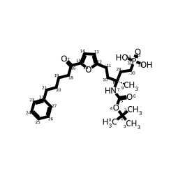 CC(C)(C)OC(=O)N[C@@](C)(CCc1ccc(C(=O)CCCCc2ccccc2)o1)CCP(=O)(O)O